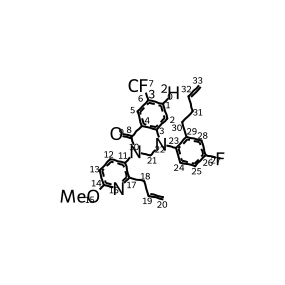 [2H]c1cc2c(cc1C(F)(F)F)C(=O)N(c1ccc(OC)nc1CC=C)CN2c1ccc(F)cc1CCC=C